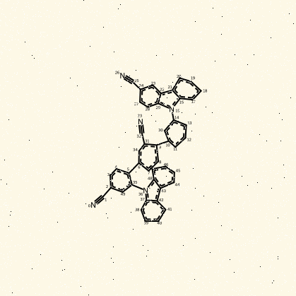 N#Cc1ccc(-c2ccc(-c3cccc(-n4c5ccccc5c5cc(C#N)ccc54)c3)c(C#N)c2)c(-n2c3ccccc3c3ccccc32)c1